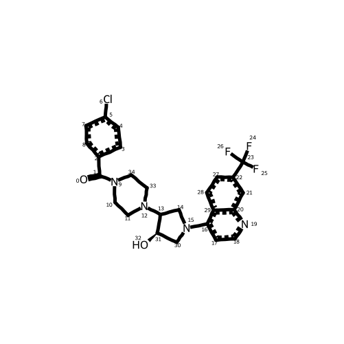 O=C(c1ccc(Cl)cc1)N1CCN(C2CN(c3ccnc4cc(C(F)(F)F)ccc34)C[C@H]2O)CC1